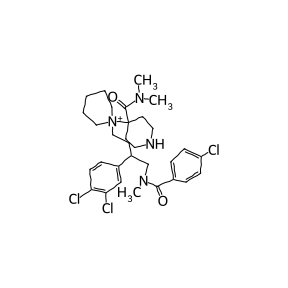 CN(C)C(=O)C1([N+]2(CCC(CN(C)C(=O)c3ccc(Cl)cc3)c3ccc(Cl)c(Cl)c3)CCCCC2)CCNCC1